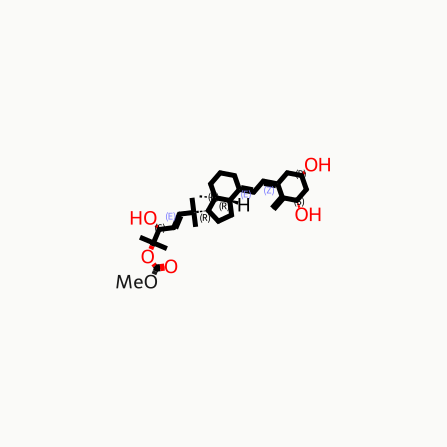 C=C1/C(=C\C=C2/CCC[C@]3(C)[C@@H](C(C)(C)/C=C/[C@H](O)C(C)(C)OC(=O)OC)CC[C@@H]23)C[C@@H](O)C[C@@H]1O